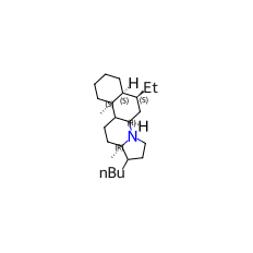 CCCCC1CCN2[C@@H]3C[C@H](CC)[C@@H]4CCCC[C@]4(C)C3CC[C@]12C